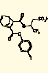 O=C(Oc1ccc(I)cc1)C1C2C=CC(C2)C1C(=O)OC(CS(=O)(=O)O)C(F)(F)F